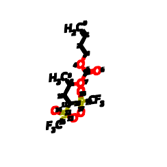 C=CCCOC(=O)OC(C)CC(S(=O)(=O)C(F)(F)F)S(=O)(=O)C(F)(F)F